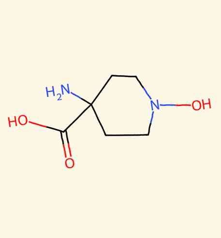 NC1(C(=O)O)CCN(O)CC1